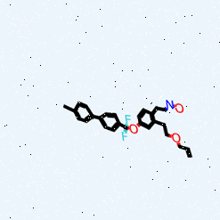 C=CCOCCc1cc(OC(F)(F)c2ccc(-c3ccc(C)cc3)cc2)ccc1CCN=O